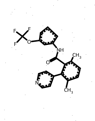 Cc1ccc(C)c(-c2ccncc2)c1C(=O)Nc1cccc(OC(F)(F)F)c1